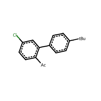 CC(=O)c1ccc(Cl)cc1-c1ccc(C(C)(C)C)cc1